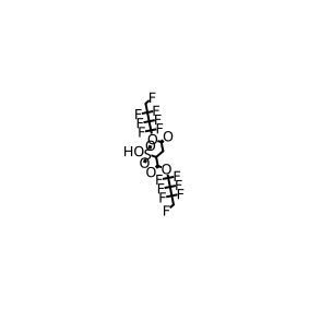 O=C(CC(C(=O)OC(F)(F)C(F)(F)C(F)(F)CF)S(=O)(=O)O)OC(F)(F)C(F)(F)C(F)(F)CF